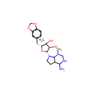 CN1CNC(N)C2CCN([C@@H]3O[C@H](Cc4ccc5c(c4)OCO5)[C@@](C)(O)[C@H]3O)C21